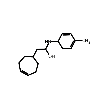 CC1=CCC(NC(O)CC2CCC=CCC2)C=C1